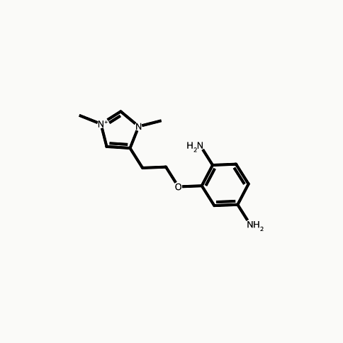 Cn1c[n+](C)cc1CCOc1cc(N)ccc1N